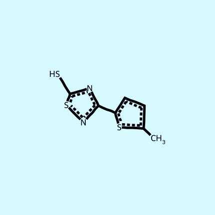 Cc1ccc(-c2nsc(S)n2)s1